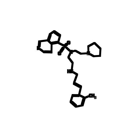 Cc1ccccc1/C=C/CNCCN(CCN1CCCCC1)S(=O)(=O)c1cccc2cnccc12